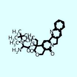 CCC1(OC(=O)C(N)[Si](C)(C)C(C)(C)C)C(=O)OCc2c1cc1n(c2=O)Cc2cc3ccccc3nc2-1